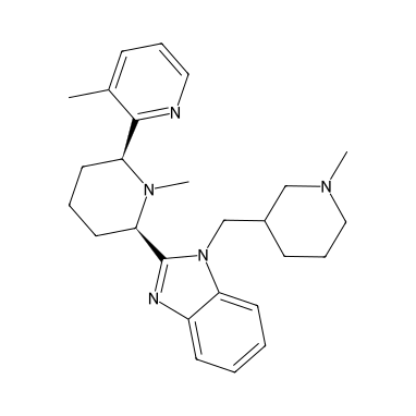 Cc1cccnc1[C@@H]1CCC[C@H](c2nc3ccccc3n2CC2CCCN(C)C2)N1C